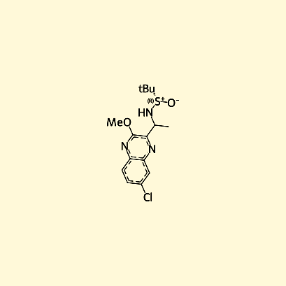 COc1nc2ccc(Cl)cc2nc1C(C)N[S@@+]([O-])C(C)(C)C